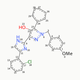 COc1ccc(Cn2nc(-c3nc(-c4ccccc4Cl)c[nH]3)c(O)c2-c2ccccc2)cc1